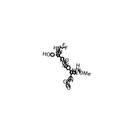 COC[C@H](C)Nc1ncc2c(-c3cnn(C(C)(C)C(=O)N4CCOCC4)c3)cc(C3CCc4c(cnn4CS(=O)(=O)c4ccc(-c5cc([C@H]6CC[C@H](O)CC6)n6nc(N[C@@H](C)CC(F)F)ncc56)cn4)C3)n2n1